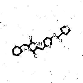 O=C(Oc1ccc(/C=c2\[nH]c(=O)/c(=C/c3ccccc3)[nH]c2=O)nc1)c1ccncc1